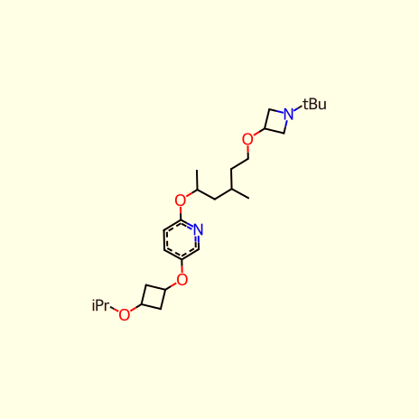 CC(CCOC1CN(C(C)(C)C)C1)CC(C)Oc1ccc(OC2CC(OC(C)C)C2)cn1